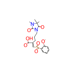 COc1ccccc1S(=O)(=O)/C=C(\CCCN1C(=O)N(C)C(C)(C)C1=O)C(=O)O